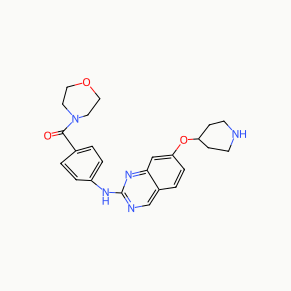 O=C(c1ccc(Nc2ncc3ccc(OC4CCNCC4)cc3n2)cc1)N1CCOCC1